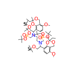 CCC1(C)OCc2c(OC)ccc(C(CO[Si](C)(C)C)N(CCN(CP(=O)(OC(C)(C)C)OC(C)(C)C)C(CO[Si](C)(C)C)c3ccc(OC)c4c3OC(C)(CC)OC4)CP(=O)(OC(C)(C)C)OC(C)(C)C)c2O1